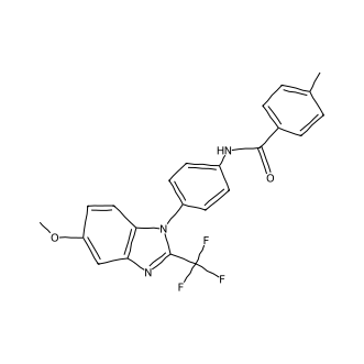 COc1ccc2c(c1)nc(C(F)(F)F)n2-c1ccc(NC(=O)c2ccc(C)cc2)cc1